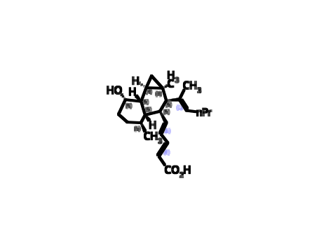 CCC/C=C(\C)[C@H]1[C@@H](/C=C/C=C/C(=O)O)[C@H]2[C@@H]([C@H]3C[C@]31C)[C@@H](O)CC[C@@H]2C